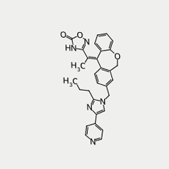 CCCc1nc(-c2ccncc2)cn1Cc1ccc2c(c1)COc1ccccc1C2=C(C)c1noc(=O)[nH]1